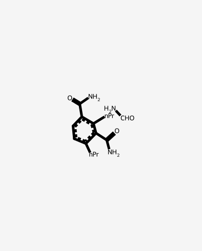 CCCc1ccc(C(N)=O)c(CCC)c1C(N)=O.NC=O